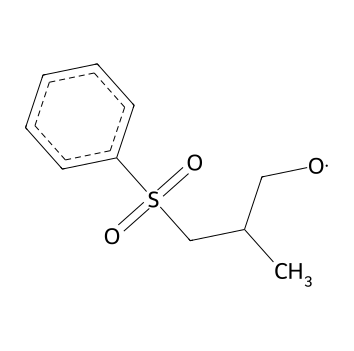 CC(C[O])CS(=O)(=O)c1ccccc1